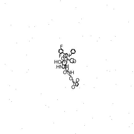 O=C(NCCOCCN1C(=O)C=CC1=O)O[C@@H]1CNC2[C@H](O)C(=O)N([C@@H](c3nc(-c4cc(F)ccc4F)cn3Cc3ccccc3)C3CCOCC3)C[C@H]21